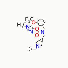 Cn1cnc(OC(=O)N(Cc2cccc(OC(F)(F)F)c2)CC2C3CN(CC4CC4)CC32)c1